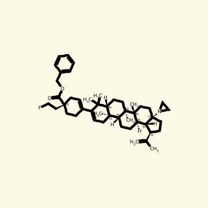 C=C(C)[C@@H]1CC[C@]2(N3CC3)CC[C@]3(C)[C@H](CC[C@@H]4[C@@]5(C)CC=C(C6=CC[C@@](CCF)(C(=O)OCc7ccccc7)CC6)C(C)(C)[C@@H]5CC[C@]43C)[C@@H]12